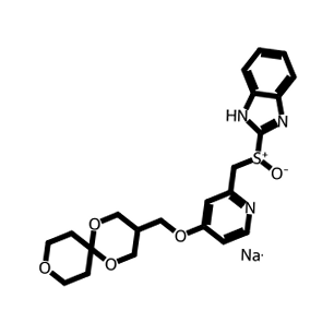 [Na].[O-][S+](Cc1cc(OCC2COC3(CCOCC3)OC2)ccn1)c1nc2ccccc2[nH]1